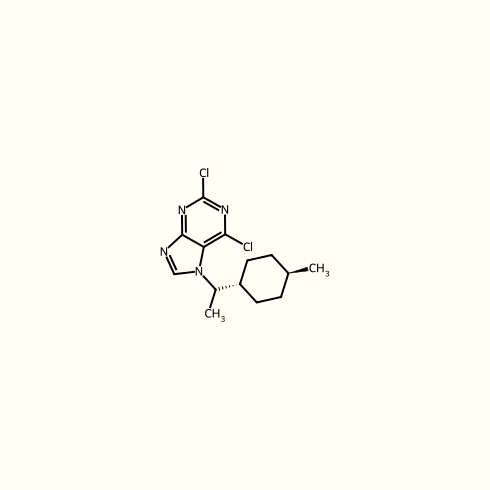 CC([C@H]1CC[C@H](C)CC1)n1cnc2nc(Cl)nc(Cl)c21